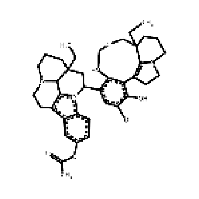 CCC12CCCNc3c(C4CC5(CC)CCCN6CCc7c(n4c4ccc(OC(C)=O)cc74)C65)cc(O)c(O)c3C3=C1N(CCC2)CC3